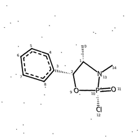 C[C@H]1[C@@H](c2ccccc2)O[P@@](=O)(Cl)N1C